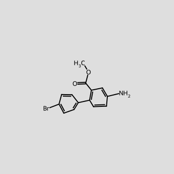 COC(=O)c1cc(N)ccc1-c1ccc(Br)cc1